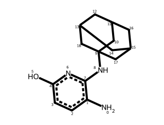 Nc1ccc(O)nc1NC12CC3CC(CC(C3)C1)C2